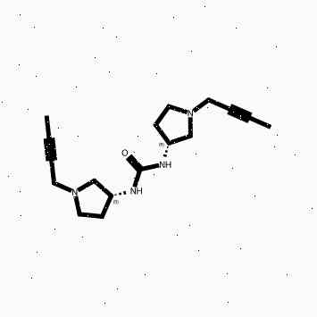 CC#CCN1CC[C@@H](NC(=O)N[C@@H]2CCN(CC#CC)C2)C1